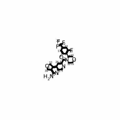 Nc1nc2cnc(C(=O)N3CCOC[C@@H]3c3ccc(C(F)(F)F)cc3F)cc2c2c1COC2